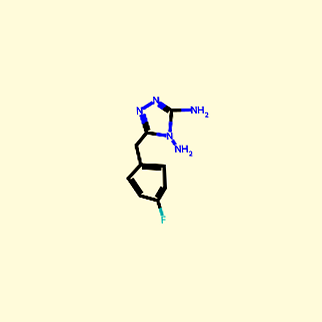 Nc1nnc(Cc2ccc(F)cc2)n1N